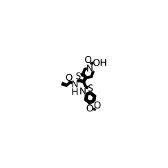 C=CC(=O)Nc1sc2c(c1-c1nc3cc4c(cc3s1)OCO4)CCN(C(=O)O)C2